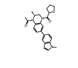 CC(=O)N1c2ccc(-c3ccc4c(ccn4C)c3)cc2N(C(=O)C2CCCO2)C[C@@H]1C